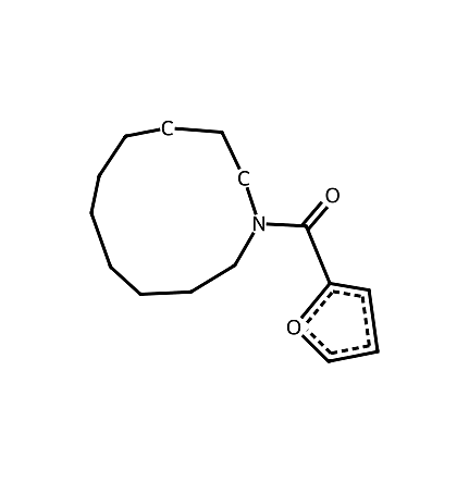 O=C(c1ccco1)N1CCCCCCCCCC1